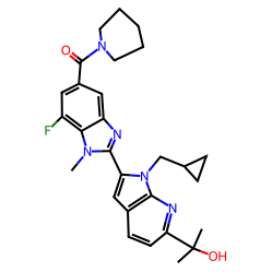 Cn1c(-c2cc3ccc(C(C)(C)O)nc3n2CC2CC2)nc2cc(C(=O)N3CCCCC3)cc(F)c21